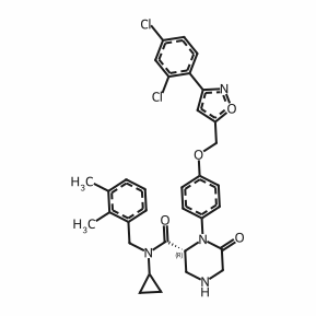 Cc1cccc(CN(C(=O)[C@H]2CNCC(=O)N2c2ccc(OCc3cc(-c4ccc(Cl)cc4Cl)no3)cc2)C2CC2)c1C